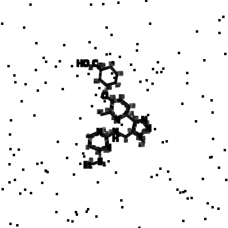 CCSc1ccnc(NCc2c(-c3ccc(O[C@H]4CCC[C@H](C(=O)O)C4)c(C)n3)nnn2C)n1